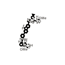 COC(=O)N[C@@H](CS)C(=O)N1C(c2nc3ccc(-c4ccc5c(c4)C(F)(F)c4cc(-c6cnc([C@@H]7CC8(CC8)CN7C(=O)[C@@H](NC(=O)OC)C(C)C)[nH]6)ccc4-5)cc3[nH]2)[C@H]2CC[C@@H]1C2